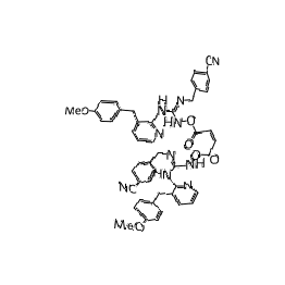 COc1ccc(Cc2cccnc2NC(=NCc2ccc(C#N)cc2)NOC(=O)/C=C\C(=O)ONC(=NCc2ccc(C#N)cc2)Nc2ncccc2Cc2ccc(OC)cc2)cc1